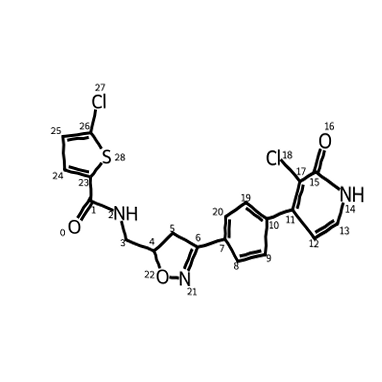 O=C(NCC1CC(c2ccc(-c3cc[nH]c(=O)c3Cl)cc2)=NO1)c1ccc(Cl)s1